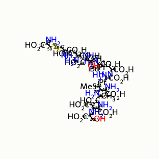 CC(C)C[C@H](N)C(=O)O.CC(C)[C@H](N)C(=O)O.CC[C@H](C)[C@H](N)C(=O)O.CSCC[C@H](N)C(=O)O.C[C@@H](O)[C@H](N)C(=O)O.C[C@H](N)C(=O)O.N[C@@H](CC(=O)O)C(=O)O.N[C@@H](CCC(=O)O)C(=O)O.N[C@@H](CO)C(=O)O.N[C@@H](CSSC[C@H](N)C(=O)O)C(=O)O